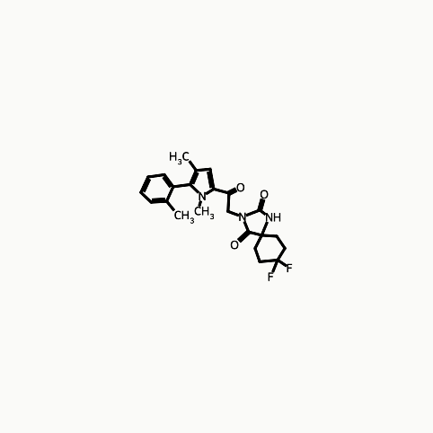 Cc1ccccc1-c1c(C)cc(C(=O)CN2C(=O)NC3(CCC(F)(F)CC3)C2=O)n1C